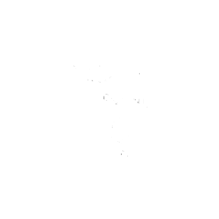 Cc1ccc(C(=O)C(N)C(c2ccc(Br)cc2)C(F)(F)F)cc1